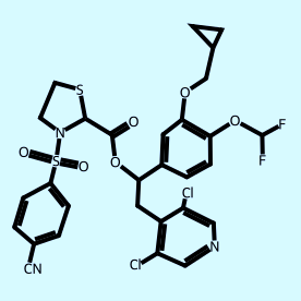 N#Cc1ccc(S(=O)(=O)N2CCSC2C(=O)OC(Cc2c(Cl)cncc2Cl)c2ccc(OC(F)F)c(OCC3CC3)c2)cc1